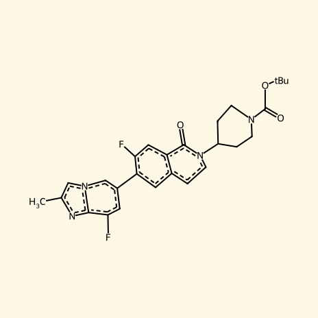 Cc1cn2cc(-c3cc4ccn(C5CCN(C(=O)OC(C)(C)C)CC5)c(=O)c4cc3F)cc(F)c2n1